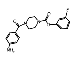 Nc1ccc(C(=O)N2CCN(C(=O)Oc3cccc(F)c3)CC2)cc1